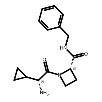 N[C@@H](C(=O)N1CC[C@H]1C(=O)NCc1cc[c]cc1)C1CC1